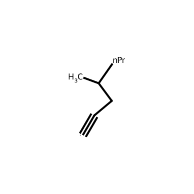 [C]#CCC(C)CCC